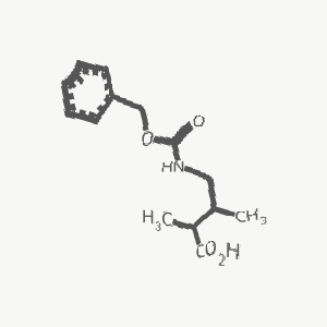 CC(CNC(=O)OCc1ccccc1)C(C)C(=O)O